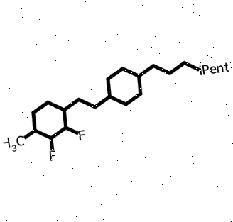 CCCC(C)CCCC1CCC(CCC2CCC(C)C(F)C2F)CC1